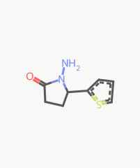 NN1C(=O)CCC1c1cccs1